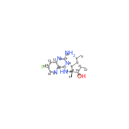 CCCC[C@@](C)(Nc1nc(N)nc2cc(F)cnc12)C(O)CC